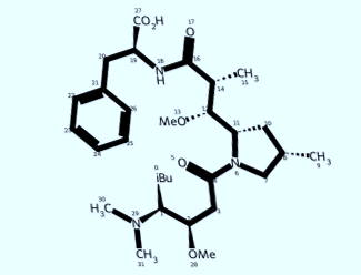 CC[C@H](C)[C@@H]([C@@H](CC(=O)N1C[C@@H](C)C[C@H]1[C@H](OC)[C@@H](C)C(=O)N[C@@H](Cc1ccccc1)C(=O)O)OC)N(C)C